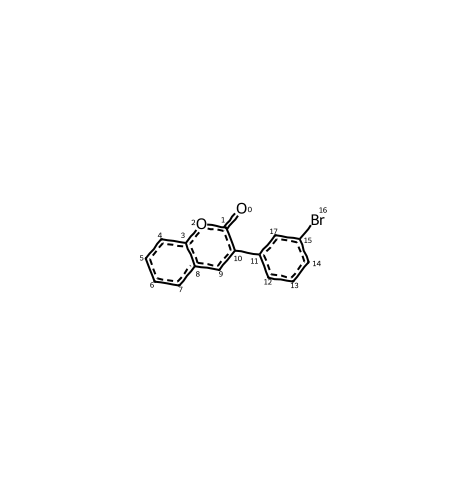 O=c1oc2ccccc2cc1-c1cccc(Br)c1